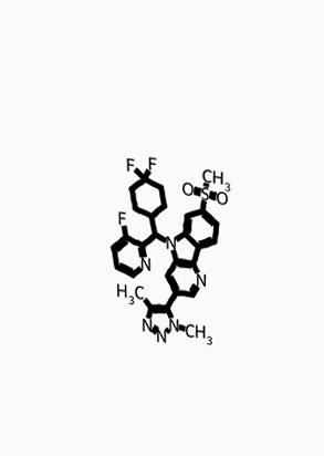 Cc1nnn(C)c1-c1cnc2c3ccc(S(C)(=O)=O)cc3n(C(c3ncccc3F)C3CCC(F)(F)CC3)c2c1